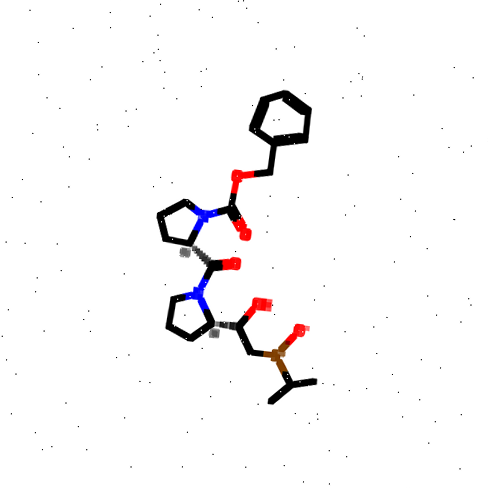 CC(C)[S+]([O-])CC(O)[C@@H]1CCCN1C(=O)[C@@H]1CCCN1C(=O)OCc1ccccc1